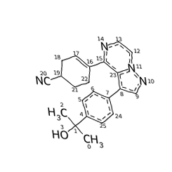 CC(C)(O)c1ccc(-c2cnn3ccnc(C4=CCC(C#N)CC4)c23)cc1